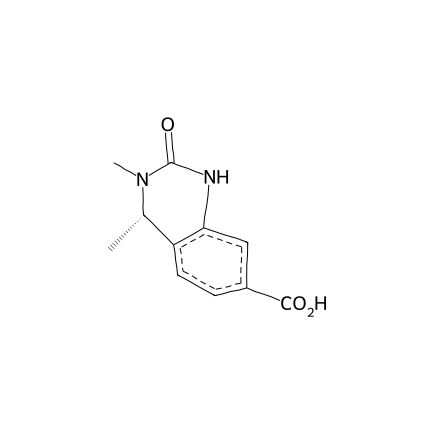 C[C@H]1c2ccc(C(=O)O)cc2NC(=O)N1C